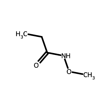 CCC(=O)NOC